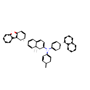 CC1C=CC(N(C2=CC[C@H](c3cccc4ccccc34)C=C2)C2=CC=C3C=C([C@H]4C=Cc5oc6ccccc6c5C4)C=C[C@@H]3C2)=CC1